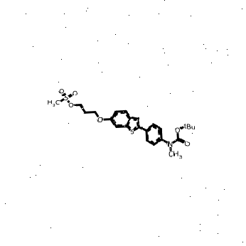 CN(C(=O)OC(C)(C)C)c1ccc(-c2cc3ccc(OCCCOS(C)(=O)=O)cc3s2)cc1